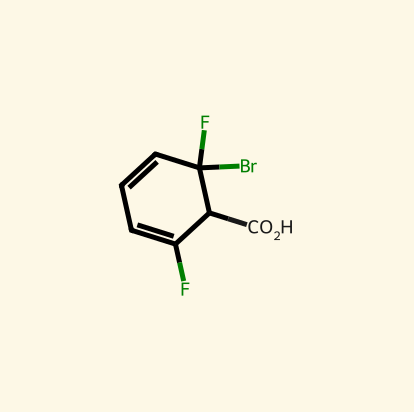 O=C(O)C1C(F)=CC=CC1(F)Br